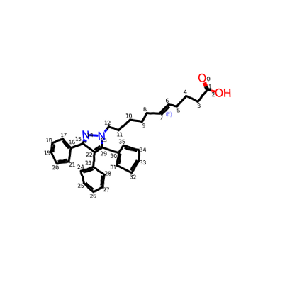 O=C(O)CCC/C=C/CCCCCn1nc(-c2ccccc2)c(-c2ccccc2)c1-c1ccccc1